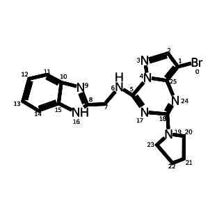 Brc1cnn2c(NCc3nc4ccccc4[nH]3)nc(N3CCCC3)nc12